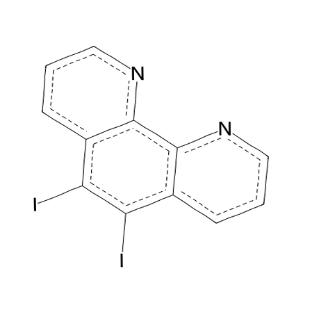 Ic1c(I)c2cccnc2c2ncccc12